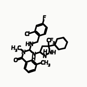 Cc1cccc(C(=O)N(C)C(NCc2ccc(F)cc2Cl)NC2CC(C3CCCCC3)(C(F)(F)F)NN2)c1